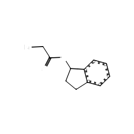 O=C(CBr)OC1CCc2ccccc21